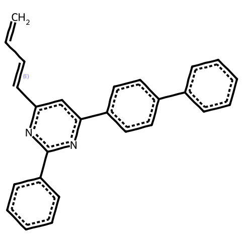 C=C/C=C/c1cc(-c2ccc(-c3ccccc3)cc2)nc(-c2ccccc2)n1